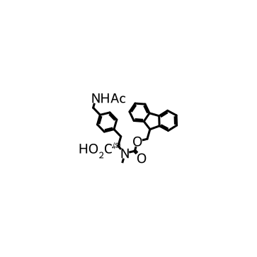 CC(=O)NCc1ccc(C[C@@H](C(=O)O)N(C)C(=O)OCC2c3ccccc3-c3ccccc32)cc1